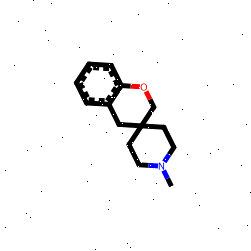 CN1CCC2(CC1)COc1ccccc1C2